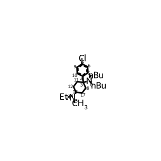 CCCCN(CCCC)C1(c2ccc(Cl)cc2)CCC(N(C)CC)CC1